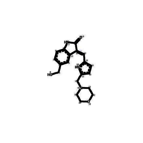 O=C1Nc2ccc(CO)cc2/C1=C\c1ccc(CN2CCOCC2)[nH]1